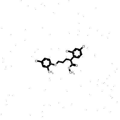 COC(=O)C(CCCOc1ccc(Cl)cc1C)c1ccc(Cl)cc1Cl